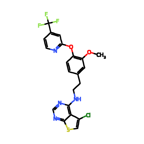 COc1cc(CCNc2ncnc3scc(Cl)c23)ccc1Oc1cc(C(F)(F)F)ccn1